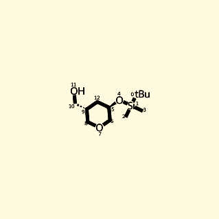 CC(C)(C)[Si](C)(C)O[C@H]1COC[C@H](CO)C1